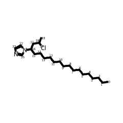 CCCCCCCCCCCCCCCCC(CC(C)Cl)n1ccnc1